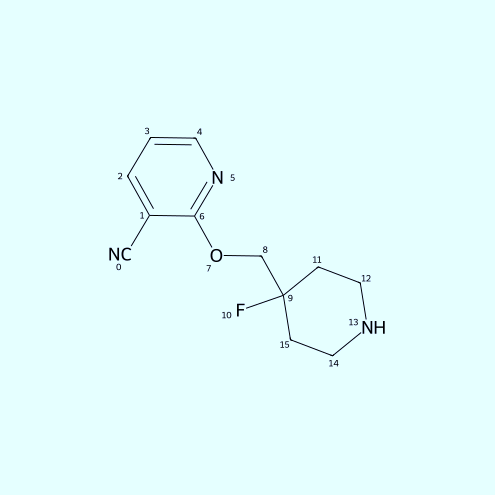 N#Cc1cccnc1OCC1(F)CCNCC1